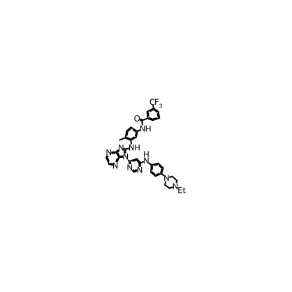 CCN1CCN(c2ccc(Nc3cc(-n4c(Nc5cc(NC(=O)c6cccc(C(F)(F)F)c6)ccc5C)nc5nccnc54)ncn3)cc2)CC1